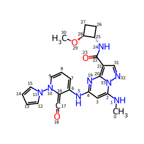 CNc1cc(NC2=CC=CN(n3cccc3)C2=C=O)nc2c(C(=O)N[C@H]3CC[C@@H]3OC)cnn12